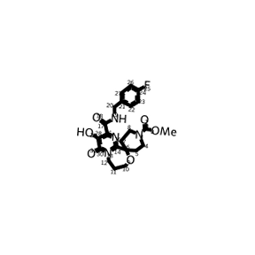 COC(=O)N1CCC2(CC1)OCCCn1c2nc(C(=O)NCc2ccc(F)cc2)c(O)c1=O